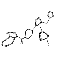 O=C(c1n[nH]c2ccccc12)N1CCC(c2nnc(Cn3nccn3)n2-c2ccc(Cl)cc2)CC1